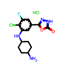 Cl.NC1CCC(Nc2cc(-c3n[nH]c(=O)o3)cc(F)c2Cl)CC1